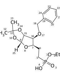 CCOP(=O)(O)CC[C@H]1O[C@@H]2OC(C)(C)OC2[C@H]1OCc1ccccc1